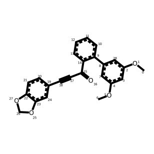 COc1cc(OC)cc(-c2ccccc2C(=O)C#Cc2ccc3c(c2)OCO3)c1